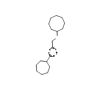 C1CCCC(OCc2noc(C3CCCCCC3)n2)CCC1